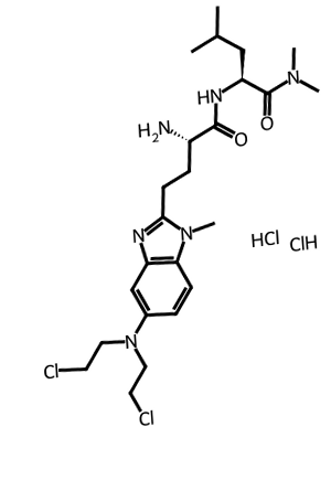 CC(C)C[C@H](NC(=O)[C@@H](N)CCc1nc2cc(N(CCCl)CCCl)ccc2n1C)C(=O)N(C)C.Cl.Cl